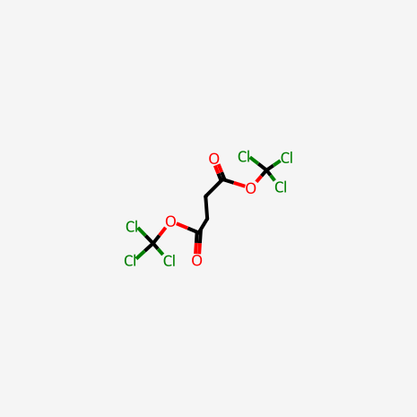 O=C(CCC(=O)OC(Cl)(Cl)Cl)OC(Cl)(Cl)Cl